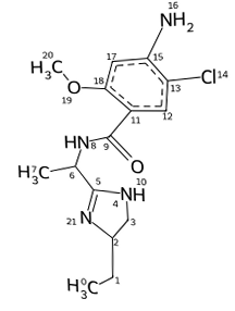 CCC1CNC(C(C)NC(=O)c2cc(Cl)c(N)cc2OC)=N1